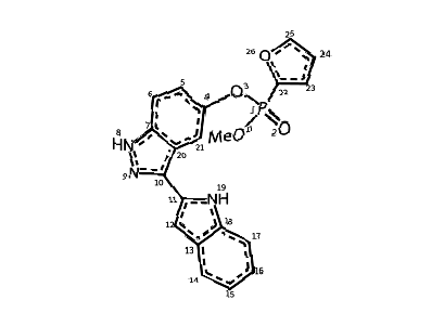 COP(=O)(Oc1ccc2[nH]nc(-c3cc4ccccc4[nH]3)c2c1)c1ccco1